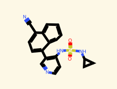 N#Cc1ccc(-c2cnccc2NS(=O)(=O)NC2CC2)c2ccccc12